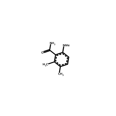 CNc1ccc(C)c(C)c1C(N)=O